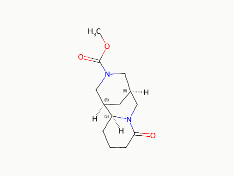 COC(=O)N1C[C@@H]2C[C@H](C1)[C@@H]1CCCC(=O)N1C2